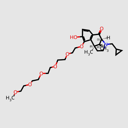 COCCOCCOCCOCCOCCOc1c(O)ccc2c1[C@]1(C)CCN(CC3CC3)[C@H](C2=O)[C@@H]1C